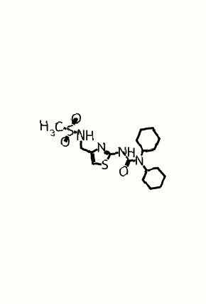 CS(=O)(=O)NCc1csc(NC(=O)N(C2CCCCC2)C2CCCCC2)n1